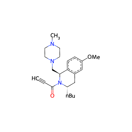 C#CC(=O)N1[C@@H](CCCC)Cc2cc(OC)ccc2[C@@H]1CN1CCN(C)CC1